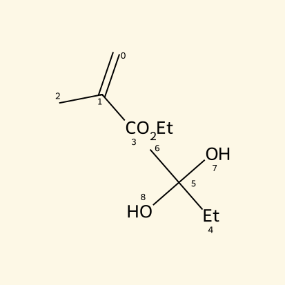 C=C(C)C(=O)OCC.[CH2]CC(C)(O)O